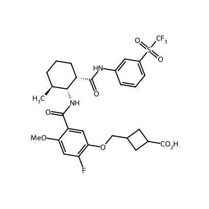 COc1cc(F)c(OCC2CC(C(=O)O)C2)cc1C(=O)N[C@H]1[C@@H](C(=O)Nc2cccc(S(=O)(=O)C(F)(F)F)c2)CCC[C@@H]1C